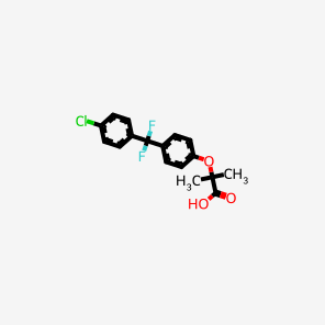 CC(C)(Oc1ccc(C(F)(F)c2ccc(Cl)cc2)cc1)C(=O)O